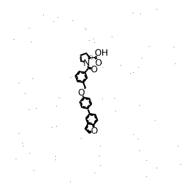 O=C(O)[C@@H]1CCCN1C(=O)c1cccc(COc2ccc(-c3ccc4occc4c3)cc2)c1